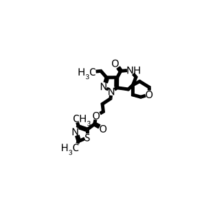 CCc1nn(CCCOC(=O)c2sc(C)nc2C)c2c1C(=O)NCC1(CCOCC1)C2